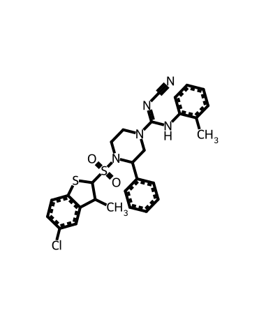 Cc1ccccc1N/C(=N\C#N)N1CCN(S(=O)(=O)C2Sc3ccc(Cl)cc3C2C)C(c2ccccc2)C1